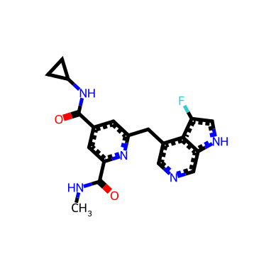 CNC(=O)c1cc(C(=O)NC2CC2)cc(Cc2cncc3[nH]cc(F)c23)n1